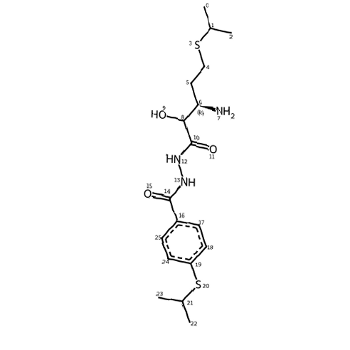 CC(C)SCC[C@@H](N)C(O)C(=O)NNC(=O)c1ccc(SC(C)C)cc1